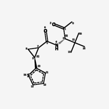 CC(=O)[C@@H](NC(=O)C1C[C@@H]1c1cccs1)C(C)(C)C